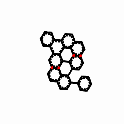 c1ccc(-c2ccc3ccccc3c2-c2ccccc2-c2cccc3c4ccccc4c4ccc5ccccc5c4c23)cc1